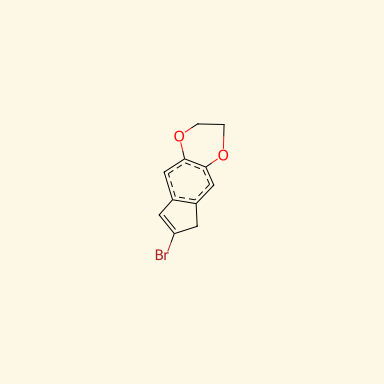 BrC1=Cc2cc3c(cc2C1)OCCO3